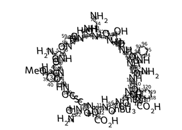 CCCC[C@H]1C(=O)N(C)[C@@H](CCCC)C(=O)N[C@@H](CCC(=O)O)C(=O)N[C@H](C(=O)NCC(N)=O)CSCC(=O)N[C@@H](Cc2ccc(OC)cc2)C(=O)N(C)[C@@H](C)C(=O)N[C@@H](CC(N)=O)C(=O)N2CCC[C@H]2C(=O)N[C@@H](CN)C(=O)N[C@@H](CCCCN)C(=O)N2C[C@H](O)C[C@H]2C(=O)N[C@@H](Cc2c[nH]c3ccccc23)C(=O)N[C@@H](CCN)C(=O)N[C@@H](Cc2cn(CC(=O)O)c3ccccc23)C(=O)N1C